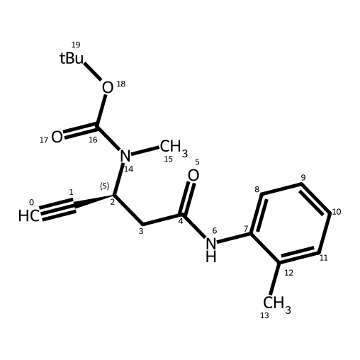 C#C[C@H](CC(=O)Nc1ccccc1C)N(C)C(=O)OC(C)(C)C